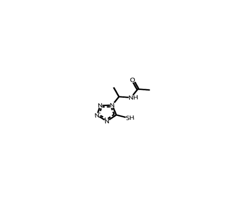 CC(=O)NC(C)n1nnnc1S